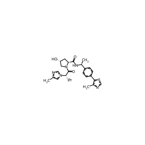 Cc1cn([C@H](C(=O)N2C[C@H](O)C[C@H]2C(=O)N[C@@H](C)c2ccc(-c3scnc3C)cc2)C(C)C)cn1